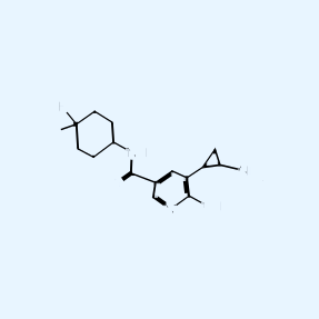 Cc1ncc(C(=O)NC2CCC(F)(F)CC2)cc1C1CC1N